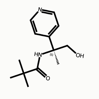 CC(C)(C)C(=O)N[C@](C)(CO)c1ccncc1